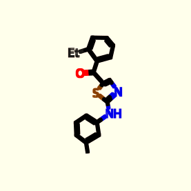 CCc1ccccc1C(=O)c1cnc(Nc2cccc(C)c2)s1